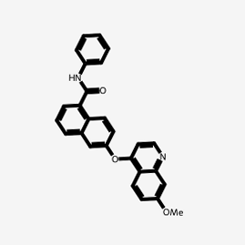 COc1ccc2c(Oc3ccc4c(C(=O)Nc5ccccc5)cccc4c3)ccnc2c1